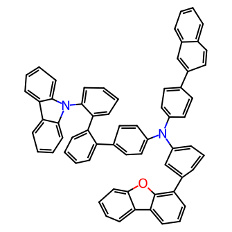 c1cc(-c2cccc3c2oc2ccccc23)cc(N(c2ccc(-c3ccc4ccccc4c3)cc2)c2ccc(-c3ccccc3-c3ccccc3-n3c4ccccc4c4ccccc43)cc2)c1